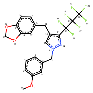 COc1cccc(Cn2[c]c(Cc3ccc4c(c3)OCO4)c(C(F)(F)C(F)(F)C(F)(F)F)n2)c1